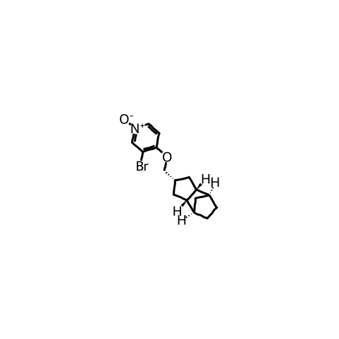 [O-][n+]1ccc(OC[C@@H]2C[C@@H]3[C@H]4CC[C@H](C4)[C@@H]3C2)c(Br)c1